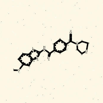 COc1ccc2nc(NC(=O)c3ccc(C(=O)N4CCOCC4)cc3)sc2c1